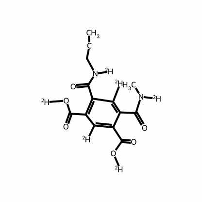 [2H]OC(=O)c1c([2H])c(C(=O)O[2H])c(C(=O)N([2H])CCC)c([2H])c1C(=O)N([2H])C